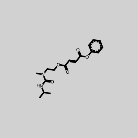 CC(C)NC(=O)N(C)CCOC(=O)/C=C/C(=O)Oc1ccccc1